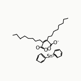 CCCCCCCC/C(C(=O)[O-])=C(\CCCCCCCC)C(=O)[O-].c1cc[c]([Sn+2][c]2ccccc2)cc1